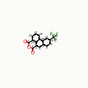 O=C1OC(=O)c2cc3ccc(C(F)(F)F)cc3c3cccc1c23